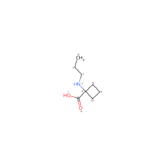 CCCNC1(C(=O)O)CCC1